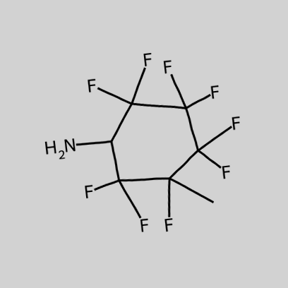 CC1(F)C(F)(F)C(N)C(F)(F)C(F)(F)C1(F)F